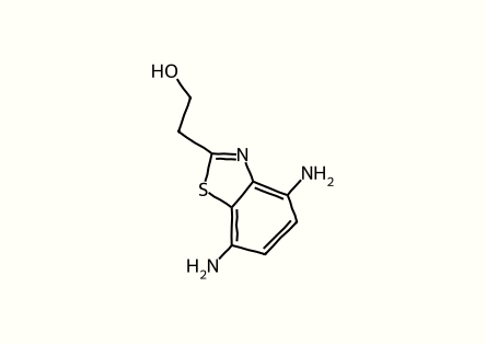 Nc1ccc(N)c2sc(CCO)nc12